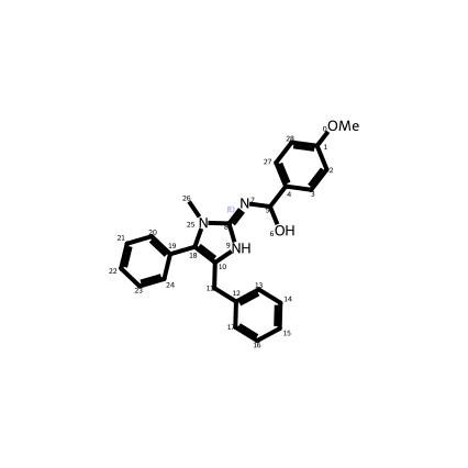 COc1ccc(C(O)/N=c2\[nH]c(Cc3ccccc3)c(-c3ccccc3)n2C)cc1